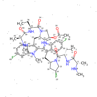 CC[C@H](NC(=O)[C@H](C)NC)C(=O)N1C[C@@H](F)C[C@H]1Cc1c(-c2c(C[C@@H]3C[C@H](OC(C)=O)CN3C(=O)[C@H](CC)NC(=O)[C@H](C)NC)c3ccc(F)cc3n2C)[nH]c2cc(F)ccc12